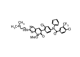 COn1c(=O)c(-c2ccc(N(C(=O)c3ccc(Cl)c(C(F)(F)F)c3)c3ccccc3)cc2Cl)cc2cnc(NCCN(C)C)nc21